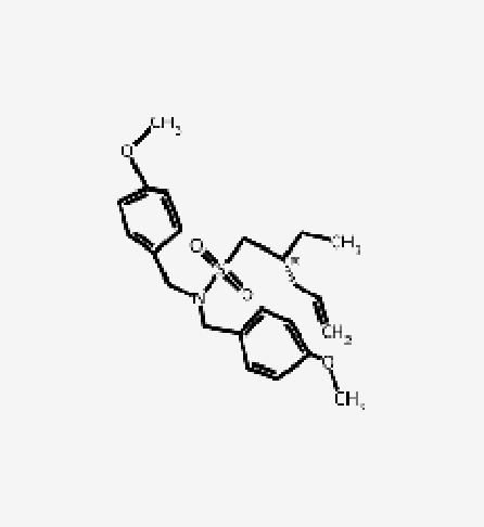 C=CC[C@@H](CC)CS(=O)(=O)N(Cc1ccc(OC)cc1)Cc1ccc(OC)cc1